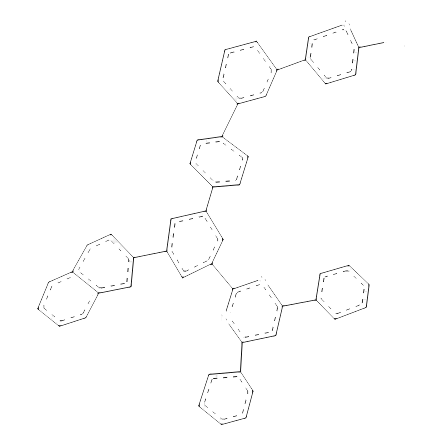 Cc1ccc(-c2cccc(-c3ccc(-c4cc(-c5ccc6ccccc6c5)cc(-c5nc(-c6ccccc6)cc(-c6ccccc6)n5)c4)cc3)c2)cn1